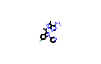 Cc1nn(C(C)c2nn(-c3cccnc3)c3cc(F)ccc23)c2ncnc(N)c12